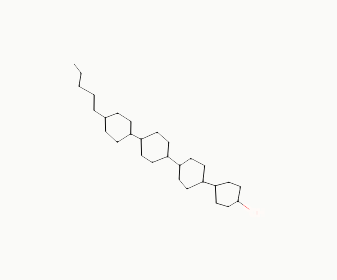 CCCCCC1CCC(C2CCC(C3CCC(C4CCC(O)CC4)CC3)CC2)CC1